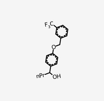 CCCC(O)c1ccc(OCc2cccc(C(F)(F)F)c2)cc1